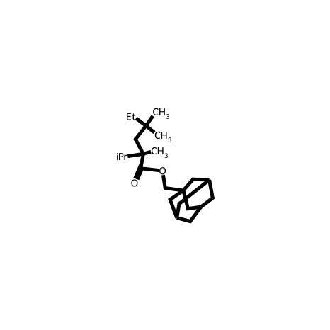 CCC(C)(C)CC(C)(C(=O)OCC12CC3CC(CC(C3)C1)C2)C(C)C